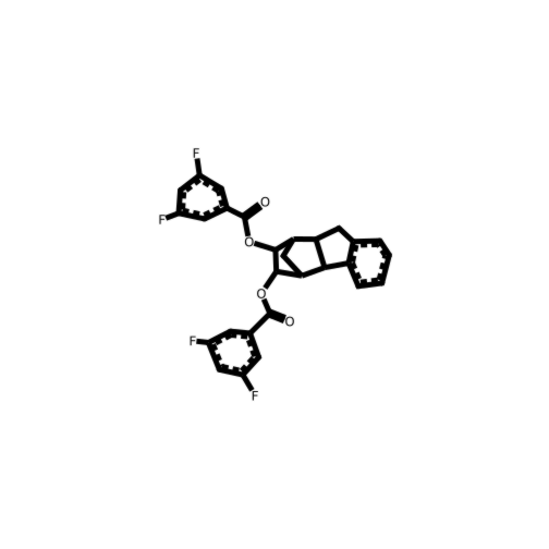 O=C(OC1C2CC(C1OC(=O)c1cc(F)cc(F)c1)C1c3ccccc3CC21)c1cc(F)cc(F)c1